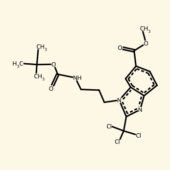 COC(=O)c1ccc2nc(C(Cl)(Cl)Cl)n(CCCNC(=O)OC(C)(C)C)c2c1